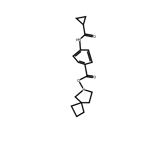 O=C(ON1CCC2(CCC2)C1)c1ccc(NC(=O)C2CC2)cc1